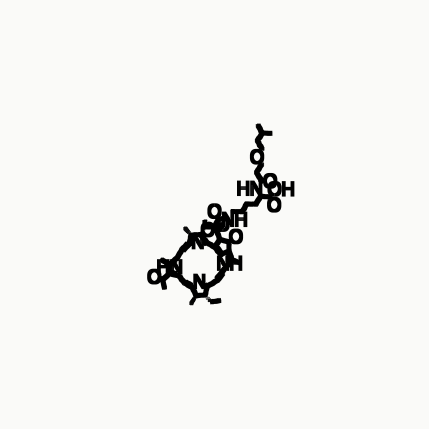 CC[C@H]1c2cc3[nH]c4c(c3C)C(=O)C(C(=O)OC)c4c3nc(cc4[nH]c(cc(n2)[C@@H]1C)c(C(C)=O)c4C)[C@@H](C)[C@@H]3CCC(=O)NCCCCC(NC(=O)CCOCCC(C)C)C(=O)O